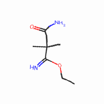 CCOC(=N)C(C)(C)C(N)=O